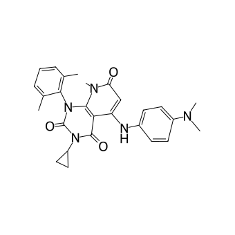 Cc1cccc(C)c1-n1c(=O)n(C2CC2)c(=O)c2c(Nc3ccc(N(C)C)cc3)cc(=O)n(C)c21